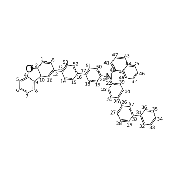 C1=CC2Oc3ccccc3C2C=C1c1ccc(-c2ccc(N(c3ccc(-c4cccc(-c5ccccc5)c4)cc3)c3cccc4ccccc34)cc2)cc1